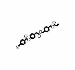 C=CC(=O)OCC1CCC(COC(=O)Cc2ccc(OC(=O)c3ccc(C#N)cc3)cc2)CC1